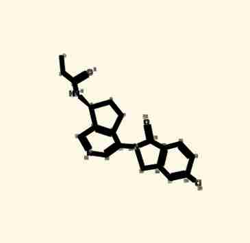 CCC(=O)N[C@H]1CCc2c1cncc2N1Cc2cc(Cl)ccc2C1=O